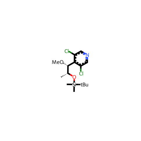 CO[C@H](c1c(Cl)cncc1Cl)[C@@H](C)O[Si](C)(C)C(C)(C)C